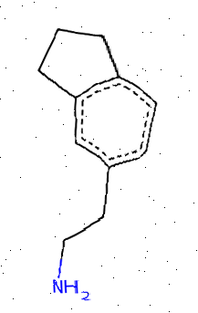 NCCc1ccc2c(c1)CCC2